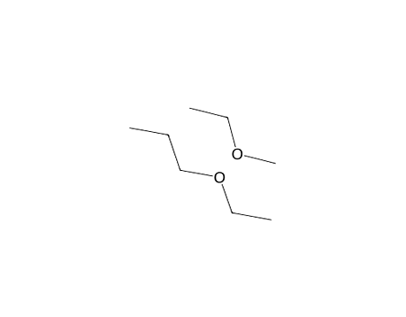 CCCOCC.CCOC